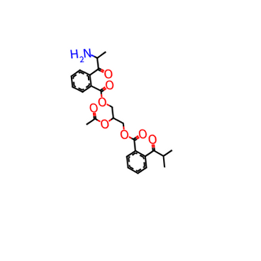 CC(=O)OC(COC(=O)c1ccccc1C(=O)C(C)C)COC(=O)c1ccccc1C(=O)C(C)N